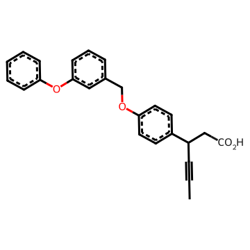 CC#CC(CC(=O)O)c1ccc(OCc2cccc(Oc3ccccc3)c2)cc1